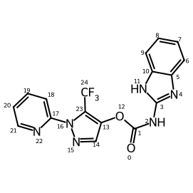 O=C(Nc1nc2ccccc2[nH]1)Oc1cnn(-c2ccccn2)c1C(F)(F)F